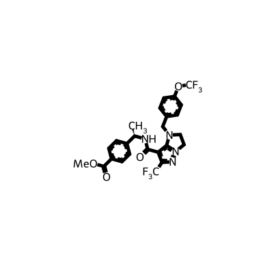 COC(=O)c1ccc([C@H](C)NC(=O)c2c(C(F)(F)F)nn3c2N(Cc2ccc(OC(F)(F)F)cc2)CC3)cc1